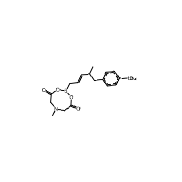 CC(/C=C/CB1OC(=O)CN(C)CC(=O)O1)Cc1ccc(C(C)(C)C)cc1